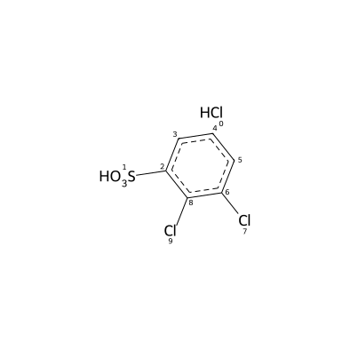 Cl.O=S(=O)(O)c1cccc(Cl)c1Cl